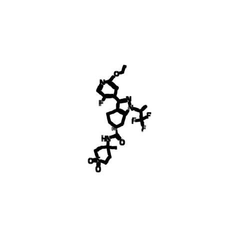 CCOc1cc(-c2nn(C(C)C(F)(F)F)c3c2CC[C@@H](C(=O)NC2(C)CCS(=O)(=O)CC2)C3)c(F)cn1